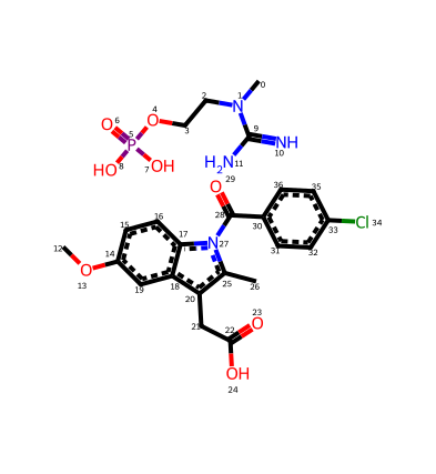 CN(CCOP(=O)(O)O)C(=N)N.COc1ccc2c(c1)c(CC(=O)O)c(C)n2C(=O)c1ccc(Cl)cc1